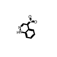 O=S(=O)=c1cn[nH]c2ccccc12